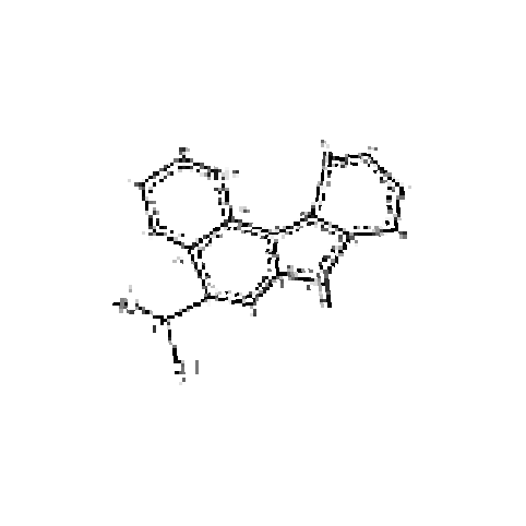 OB(O)c1cc2[nH]c3cccnc3c2c2ncccc12